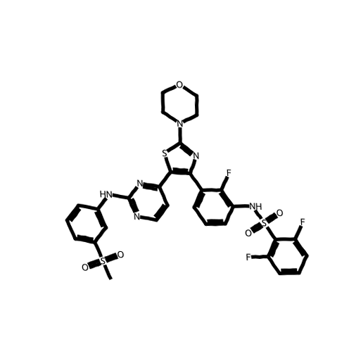 CS(=O)(=O)c1cccc(Nc2nccc(-c3sc(N4CCOCC4)nc3-c3cccc(NS(=O)(=O)c4c(F)cccc4F)c3F)n2)c1